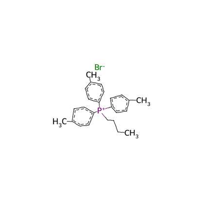 CCCC[P+](c1ccc(C)cc1)(c1ccc(C)cc1)c1ccc(C)cc1.[Br-]